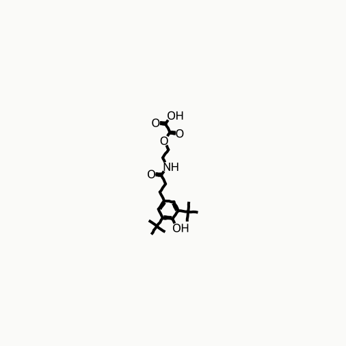 CC(C)(C)c1cc(CCC(=O)NCCOC(=O)C(=O)O)cc(C(C)(C)C)c1O